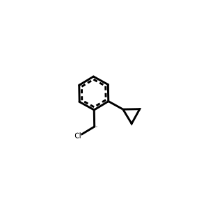 Cl[CH]c1ccccc1C1CC1